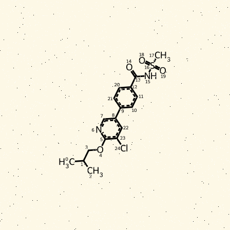 CC(C)COc1ncc(-c2ccc(C(=O)NS(C)(=O)=O)cc2)cc1Cl